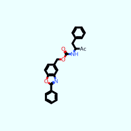 CC(=O)C(Cc1ccccc1)NC(=O)OCc1ccc2oc(-c3ccccc3)nc2c1